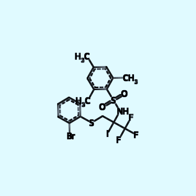 Cc1cc(C)c(S(=O)(=O)NC(I)(CSc2ccccc2Br)C(F)(F)F)c(C)c1